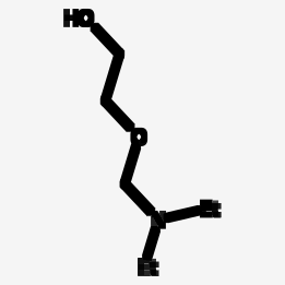 CCN(CC)COCCO